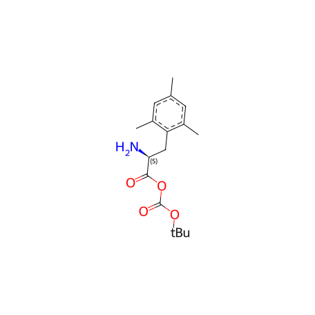 Cc1cc(C)c(C[C@H](N)C(=O)OC(=O)OC(C)(C)C)c(C)c1